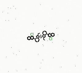 CCC1=CC2=C(C=CC=CC2c2cc(Cl)c3ccccc3c2)C1[Si](C)(C)C1C(CC)=CC2=C1C=CC=CC2c1cc(Cl)c2ccccc2c1